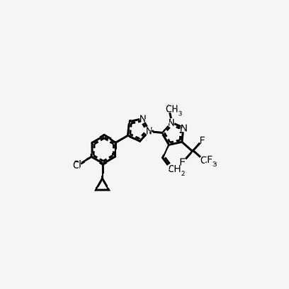 C=Cc1c(C(F)(F)C(F)(F)F)nn(C)c1-n1cc(-c2ccc(Cl)c(C3CC3)c2)cn1